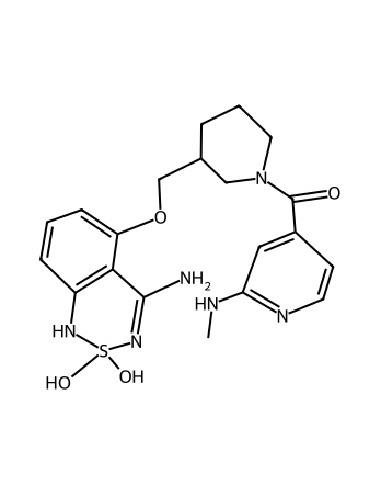 CNc1cc(C(=O)N2CCCC(COc3cccc4c3C(N)=NS(O)(O)N4)C2)ccn1